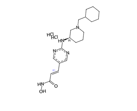 Cl.Cl.O=C(/C=C/c1cnc(N[C@@H]2CCCN(CC3CCCCC3)C2)nc1)NO